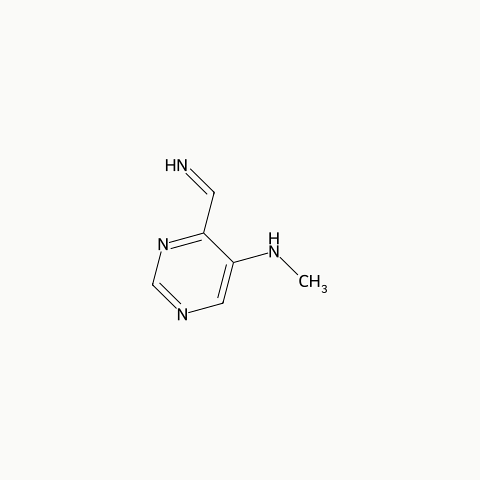 CNc1cncnc1C=N